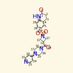 O=C1CCc2cc(S(=O)(=O)N3CC(C(=O)N4CCN(c5ccncc5)CC4)C3)ccc2N1